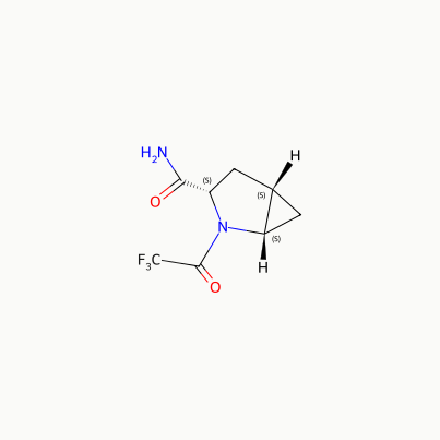 NC(=O)[C@@H]1C[C@@H]2C[C@@H]2N1C(=O)C(F)(F)F